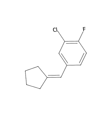 Fc1ccc(C=C2CCCC2)cc1Cl